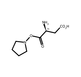 N[C@@H](CC(=O)O)C(=O)ON1CCCC1